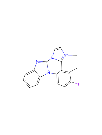 Cc1c(I)ccc2c1c1n(cc[n+]1C)c1nc3ccccc3n21